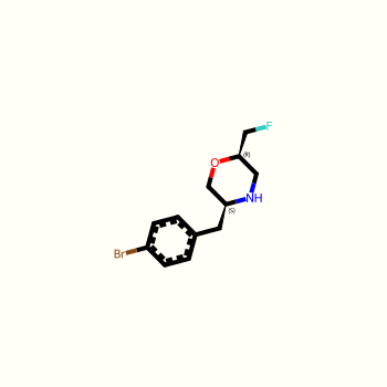 FC[C@H]1CN[C@@H](Cc2ccc(Br)cc2)CO1